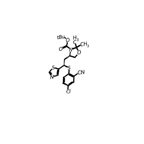 CC(C)(C)OC(=O)N1C(C[C@@H](Sc2ccc(Cl)cc2C#N)c2cncs2)COC1(C)C